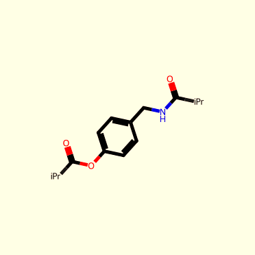 CC(C)C(=O)NCc1ccc(OC(=O)C(C)C)cc1